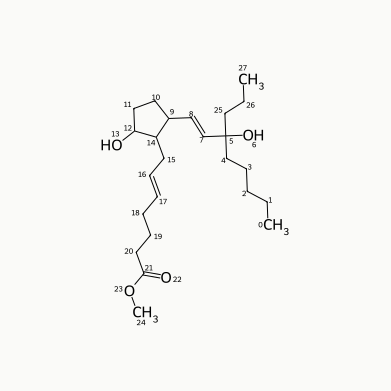 CCCCCC(O)(C=CC1CCC(O)C1CC=CCCCC(=O)OC)CCC